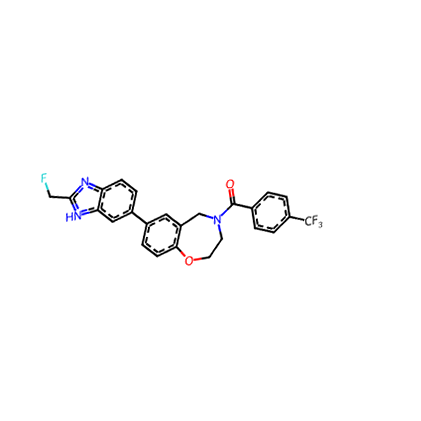 O=C(c1ccc(C(F)(F)F)cc1)N1CCOc2ccc(-c3ccc4nc(CF)[nH]c4c3)cc2C1